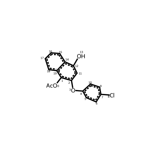 CC(=O)Oc1c(Oc2ccc(Cl)cc2)cc(O)c2ccccc12